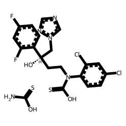 NC(O)=S.OC(=S)N(CC[C@](O)(Cn1cncn1)c1ccc(F)cc1F)c1ccc(Cl)cc1Cl